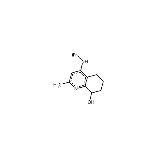 Cc1cc(NC(C)C)c2c(n1)C(O)CCC2